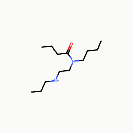 CCCCN(CCNCCC)C(=O)CCC